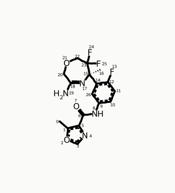 Cc1ocnc1C(=O)Nc1ccc(F)c([C@@]2(C)N=C(N)COCC2(F)F)c1